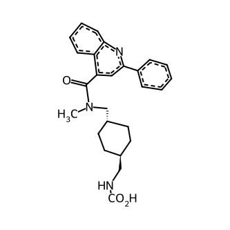 CN(C[C@H]1CC[C@H](CNC(=O)O)CC1)C(=O)c1cc(-c2ccccc2)nc2ccccc12